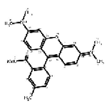 COC(=O)c1cc(C)ccc1-c1c2ccc(=[N+](C)C)cc-2oc2cc(N(C)C)ccc12